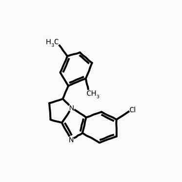 Cc1ccc(C)c(C2CCc3nc4ccc(Cl)cc4n32)c1